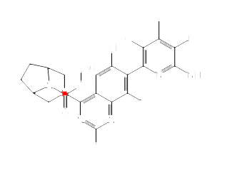 Cc1c(F)c(N)nc(-c2c(Cl)cc3c(N4CC5CCC(C4)N5C(=O)OC(C)(C)C)nc(F)nc3c2F)c1C(F)(F)F